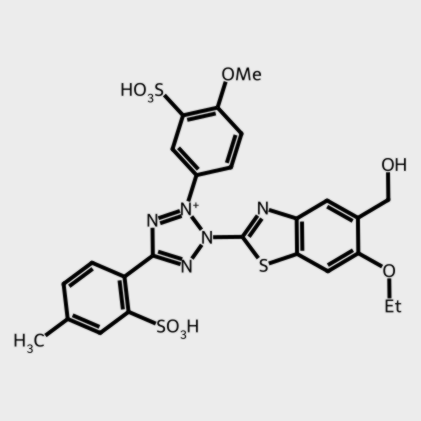 CCOc1cc2sc(-n3nc(-c4ccc(C)cc4S(=O)(=O)O)n[n+]3-c3ccc(OC)c(S(=O)(=O)O)c3)nc2cc1CO